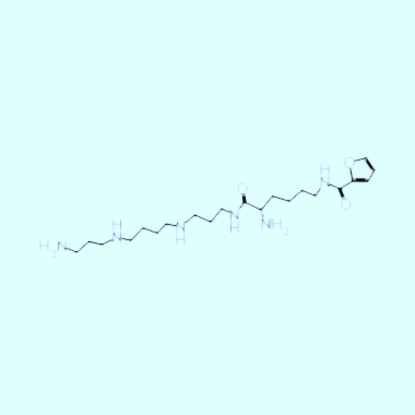 NCCCNCCCCNCCCNC(=O)[C@H](N)CCCCNC(=O)c1ccco1